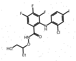 CCC(CO)ONC(=O)c1cc(F)c(F)c(F)c1Nc1ccc(I)cc1Cl